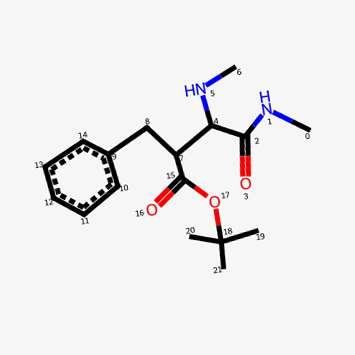 CNC(=O)C(NC)C(Cc1ccccc1)C(=O)OC(C)(C)C